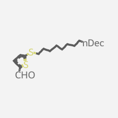 CCCCCCCCCCCCCCCCCCSc1ccc(C=O)s1